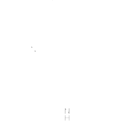 c1ccc(C2CCCN(CCCCc3c[nH]c4ccccc34)C2)cc1